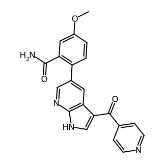 COc1ccc(-c2cnc3[nH]cc(C(=O)c4ccncc4)c3c2)c(C(N)=O)c1